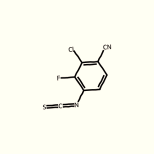 N#Cc1ccc(N=C=S)c(F)c1Cl